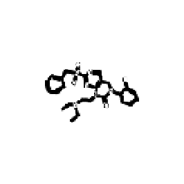 CCN(CC)CCN1C(=O)N(c2ccccc2Cl)Cc2cnc(S(=O)(=O)Cc3ccccc3)nc21